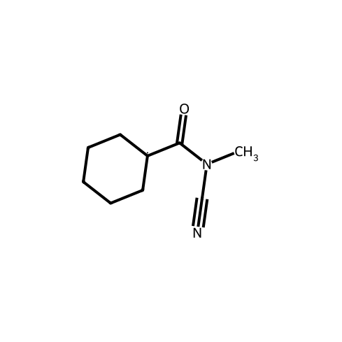 CN(C#N)C(=O)[C]1CCCCC1